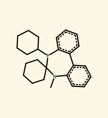 CN1c2ccccc2-c2ccccc2P(C2CCCCC2)C12CCCCC2